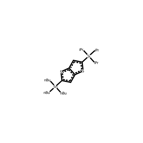 CCC[CH2][Sn]([CH2]CCC)([CH2]CCC)[c]1cc2sc([Si](C(C)C)(C(C)C)C(C)C)cc2s1